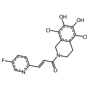 O=C(/C=C/c1ccc(F)cn1)N1CCc2c(Cl)c(O)c(O)c(Cl)c2C1